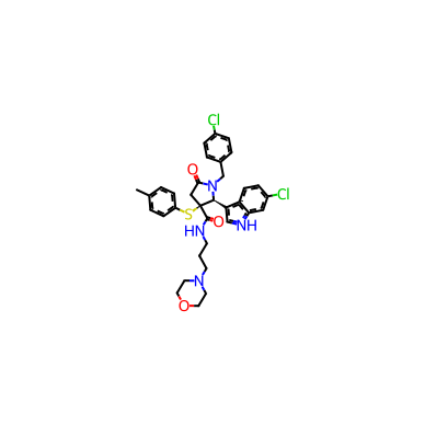 Cc1ccc(S[C@@]2(C(=O)NCCCN3CCOCC3)CC(=O)N(Cc3ccc(Cl)cc3)[C@H]2c2c[nH]c3cc(Cl)ccc23)cc1